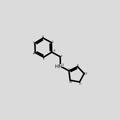 C1=C(NCc2ccccc2)CCC1